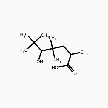 CC(CC(C)(C)C(O)C(C)(C)C)C(=O)O